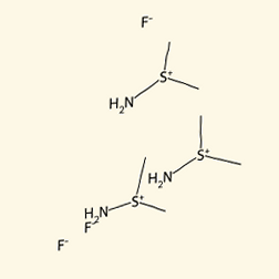 C[S+](C)N.C[S+](C)N.C[S+](C)N.[F-].[F-].[F-]